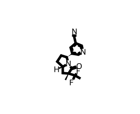 CC(F)(F)[C@]1(C)C[C@@H]2CC[C@H](c3cncc(C#N)c3)N2C1=O